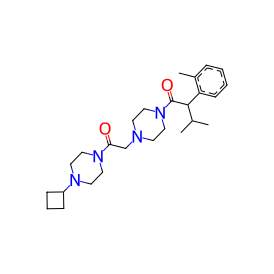 Cc1ccccc1C(C(=O)N1CCN(CC(=O)N2CCN(C3CCC3)CC2)CC1)C(C)C